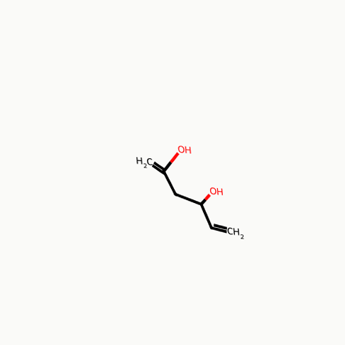 C=CC(O)CC(=C)O